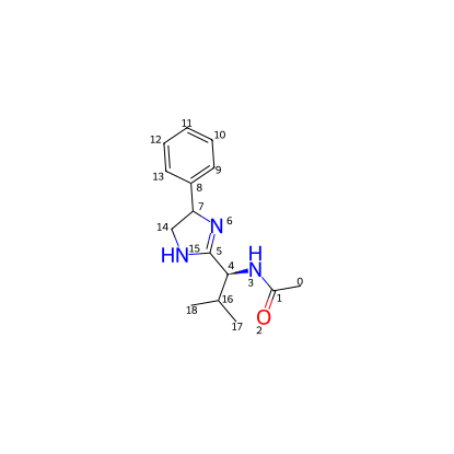 CC(=O)N[C@H](C1=NC(c2ccccc2)CN1)C(C)C